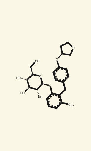 Cc1cccc(O[C@@H]2O[C@H](CO)[C@@H](O)[C@H](O)[C@H]2O)c1Cc1ccc(O[C@H]2CCOC2)cc1